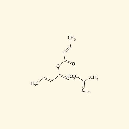 C=C(C)C(=O)O.CC=CC(=O)OC(=O)C=CC